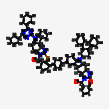 O=c1c2ccccc2oc2nc3cc4c(cc3n12)c1cc(-c2ccc(-c3cccc5c(=O)n6c(nc7c8c9ccccc9n(-c9nc(-c%10ccccc%10)nc(-c%10ccccc%10)n9)c8ccc76)sc35)cc2)ccc1n4-c1ccc2c3ccccc3c3ccccc3c2c1